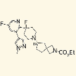 CCOC(=O)N1CC2(CC[C@H](N3CCC(F)(c4ncc(F)cc4-c4cnn(C)c4)CC3)C2)C1